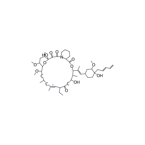 C=CC=CCC1(O)CCC(C=C(C)C2OC(=O)C3CCCCN3C(=O)C(=O)C3(O)OC(C(OC)CC(C)C/C(C)=C/C(CC)C(=O)CC(O)C2C)C(OC)CC3C)CC1OC